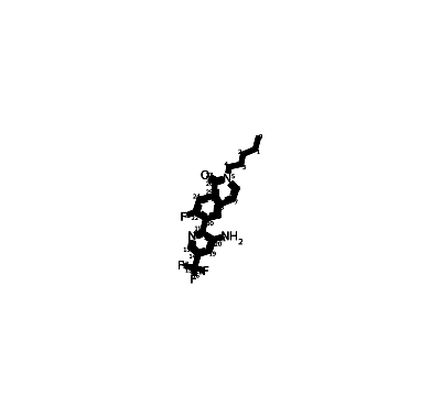 CCCCCn1ccc2cc(-c3ncc(C(F)(F)F)cc3N)c(F)cc2c1=O